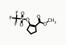 COC(=O)C1=C(OS(=O)(=O)C(F)(F)F)CCC1